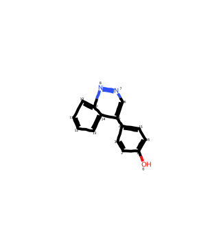 Oc1ccc(-c2cnnc3ccccc23)cc1